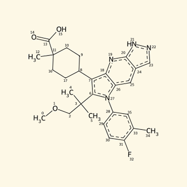 COCC(C)(C)c1c(C2CCC(C)(C(=O)O)CC2)c2nc3[nH]ncc3cc2n1-c1ccc(F)c(C)c1